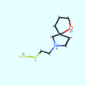 SSCCN1CCC2(CCCO2)C1